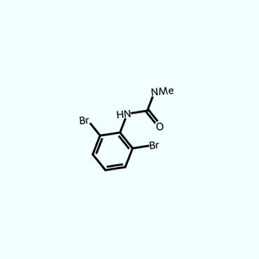 CNC(=O)Nc1c(Br)cccc1Br